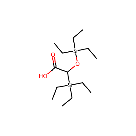 CC[Si](CC)(CC)OC(C(=O)O)[Si](CC)(CC)CC